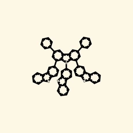 c1ccc(-c2cc(-c3ccc4oc5ccccc5c4c3)c3c(c2)c2cc(-c4ccccc4)cc(-c4ccc5oc6ccccc6c5c4)c2n3-c2ccc3c(c2)sc2ccccc23)cc1